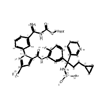 CCCCCCOC(=O)NC(=N)c1cccc(-n2nc(C(F)(F)F)cc2C(=O)Nc2cc(C(CCC3CC3)(N[S@+]([O-])C(C)(C)C)c3cccnc3)ccc2F)c1